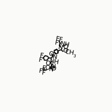 COCC(c1ccc2oc(C(NC(=O)c3nonc3OCC(F)(F)F)C3CCC(F)(F)CC3)nc2c1)N1CC(C(F)(F)F)NC1=O